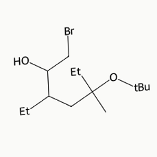 CCC(CC(C)(CC)OC(C)(C)C)C(O)CBr